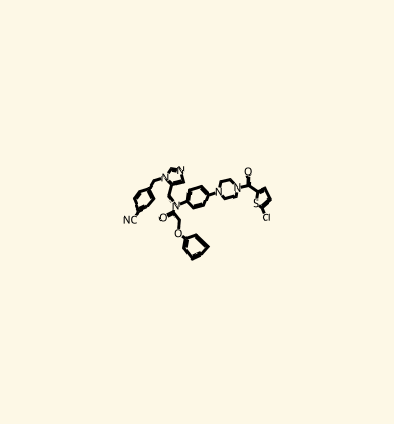 N#Cc1ccc(Cn2cncc2CN(C(=O)COc2ccccc2)c2ccc(N3CCN(C(=O)c4ccc(Cl)s4)CC3)cc2)cc1